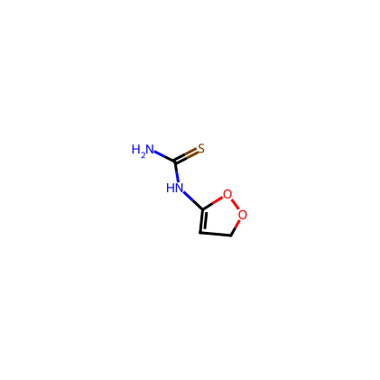 NC(=S)NC1=CCOO1